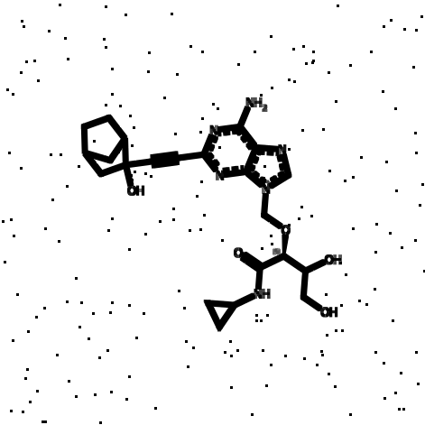 Nc1nc(C#CC2(O)CC3CCC2C3)nc2c1ncn2CO[C@H](C(=O)NC1CC1)C(O)CO